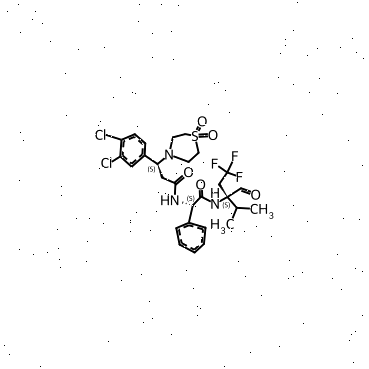 CC(C)[C@](C=O)(CC(F)(F)F)NC(=O)[C@@H](NC(=O)C[C@@H](c1ccc(Cl)c(Cl)c1)N1CCS(=O)(=O)CC1)c1ccccc1